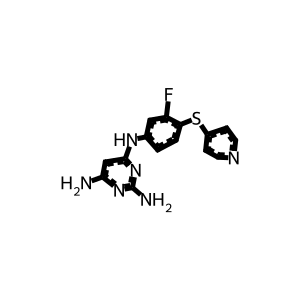 Nc1cc(Nc2ccc(Sc3ccncc3)c(F)c2)nc(N)n1